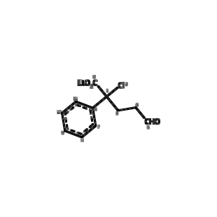 CCOC(=O)C(Cl)(CCC=O)c1ccccc1